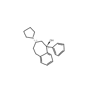 O[C@]1(c2ccccc2)C[C@@H](N2CCCC2)CCc2ccccc21